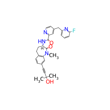 CN1C(=O)[C@H](NC(=O)c2cc(Cc3cccc(F)n3)ccn2)CCc2ccc(C#CC(C)(C)O)cc21